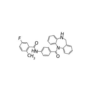 Cc1ccc(F)cc1C(=O)Nc1ccc(C(=O)N2c3ccccc3CNc3ccccc32)cc1